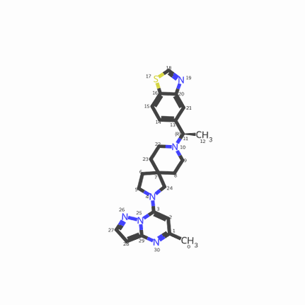 Cc1cc(N2CCC3(CCN([C@H](C)c4ccc5scnc5c4)CC3)C2)n2nccc2n1